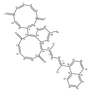 C=c1ccccc(=C)cc(-c2c(=C)ccccc(=C)c(/C(C)=C/C=C(\C)c3cccc4ccccc34)c3cc(C)ccc23)cc1